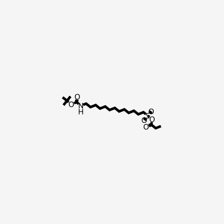 CCC(=O)OS(=O)(=O)CCCCCCCCCCCCCNC(=O)OC(C)(C)C